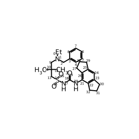 CCN(Cc1ccccc1)CC(C)(C)CS(=O)(=O)NC(=O)Nc1c2c(cc3c1CCC3)CCC2